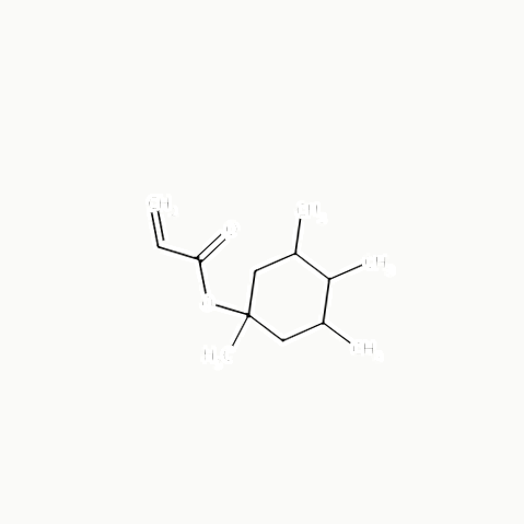 C=CC(=O)OC1(C)CC(C)C(C)C(C)C1